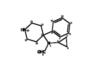 O=CN(C1CC1)C1(c2ccccc2)CCNCC1